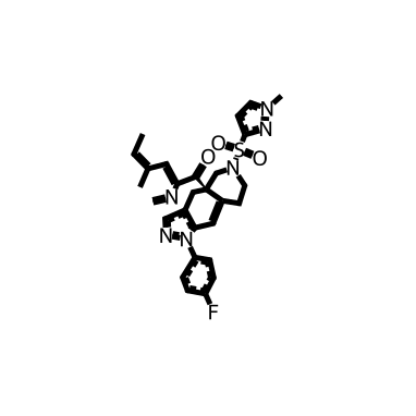 C=N/C(=C\C(C)=C/C)C(=O)[C@]12Cc3cnn(-c4ccc(F)cc4)c3C=C1CCN(S(=O)(=O)c1ccn(C)n1)C2